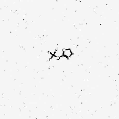 FC(F)(F)OC1=N[C]CO1